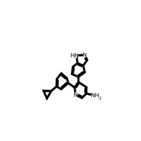 Nc1cnc(-c2cccc(C3CC3)c2)c(-c2ccc3[nH]ncc3c2)c1